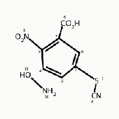 N#CSc1ccc([N+](=O)[O-])c(C(=O)O)c1.NO